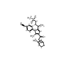 Cc1c(C(=O)CN2C3CCC2[C@@H](O)C3)cc(C(C)CCS(C)(=O)=O)n1-c1ccc(C#N)cc1